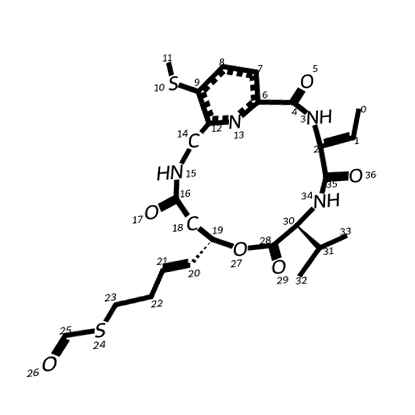 C/C=C1\NC(=O)c2ccc(SC)c(n2)CNC(=O)C[C@@H](/C=C/CCSC=O)OC(=O)[C@H](C(C)C)NC1=O